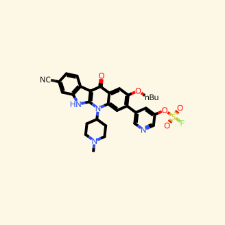 CCCCOc1cc2c(=O)c3c4ccc(C#N)cc4[nH]c3n(C3CCN(C)CC3)c2cc1-c1cncc(OS(=O)(=O)F)c1